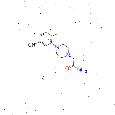 [C-]#[N+]c1ccc(C)c(N2CCN(CC(N)=O)CC2)c1